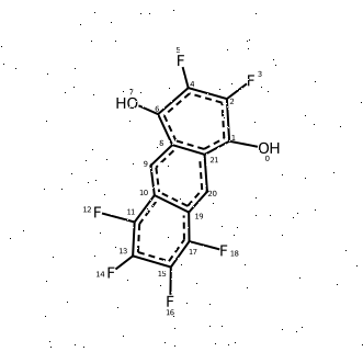 Oc1c(F)c(F)c(O)c2cc3c(F)c(F)c(F)c(F)c3cc12